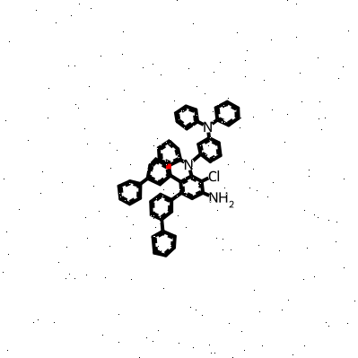 Nc1cc(-c2cccc(-c3ccccc3)c2)c(-c2cccc(-c3ccccc3)c2)c(N(c2ccccc2)c2cccc(N(c3ccccc3)c3ccccc3)c2)c1Cl